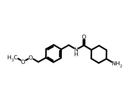 COOCc1ccc(CNC(=O)C2CCC(N)CC2)cc1